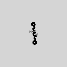 C(=C\c1cnc2nc(/C=C/c3ccccc3)[nH]c2c1)/c1ccccc1